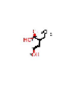 CCC(C=CO)C(=O)O